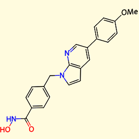 COc1ccc(-c2cnc3c(ccn3Cc3ccc(C(=O)NO)cc3)c2)cc1